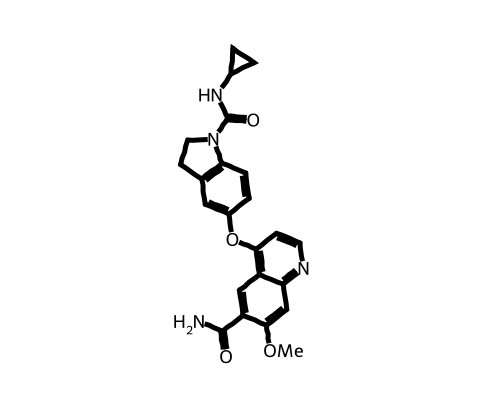 COc1cc2nccc(Oc3ccc4c(c3)CCN4C(=O)NC3CC3)c2cc1C(N)=O